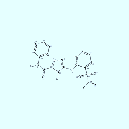 CN(C(=O)c1cnc(Sc2ccccc2S(=O)(=O)N(C)C)n1C)c1cccnc1